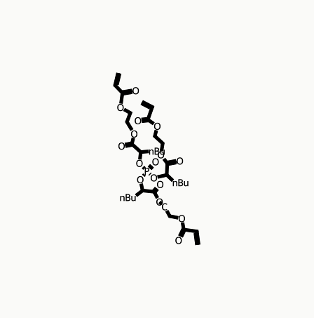 C=CC(=O)OCCOC(=O)C(CCCC)OP(=O)(OC(CCCC)C(=O)OCCOC(=O)C=C)OC(CCCC)C(=O)OCCOC(=O)C=C